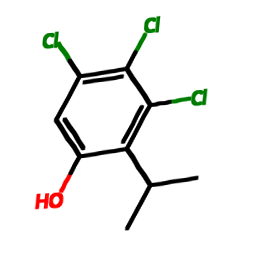 CC(C)c1c(O)cc(Cl)c(Cl)c1Cl